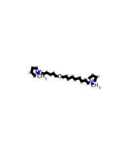 C[N+]1(CCCCCCCCCCCCCCCC[N+]2(C)CCCC2)CCCC1